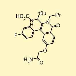 CC(C)Cn1c(C(NC(=O)O)C(C)(C)C)c(-c2ccc(F)cc2)c2cc(OCC(N)=O)ccc2c1=O